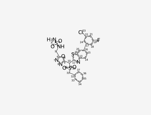 NS(=O)(=O)NCc1nnc(C(c2nc3ccc(-c4cc(F)cc(Cl)c4)cc3s2)S(=O)(=O)Cc2ccccc2)o1